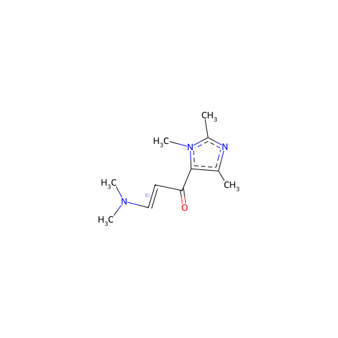 Cc1nc(C)n(C)c1C(=O)/C=C/N(C)C